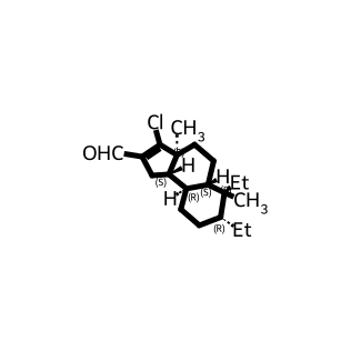 CC[C@@H]1CC[C@@H]2[C@H](CC[C@]3(C)C(Cl)=C(C=O)C[C@@H]23)[C@@]1(C)CC